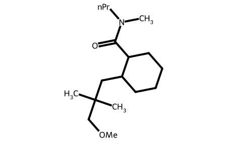 CCCN(C)C(=O)C1CCCCC1CC(C)(C)COC